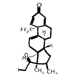 CC1C[C@H]2[C@@H]3CCC4=CC(=O)C=C[C@]4(C)C3=CC[C@]2(C)[C@@]1(C)C(=O)CI